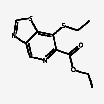 CCOC(=O)c1ncc2ncsc2c1SCC